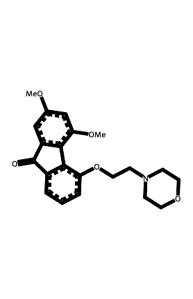 COc1cc(OC)c2c(c1)C(=O)c1cccc(OCCN3CCOCC3)c1-2